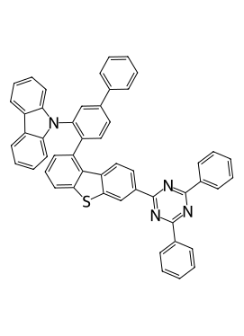 c1ccc(-c2ccc(-c3cccc4sc5cc(-c6nc(-c7ccccc7)nc(-c7ccccc7)n6)ccc5c34)c(-n3c4ccccc4c4ccccc43)c2)cc1